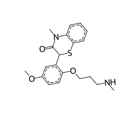 CNCCCOc1ccc(OC)cc1C1Sc2ccccc2N(C)C1=O